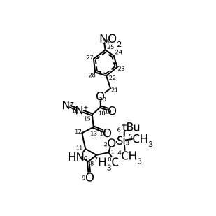 CC(O[Si](C)(C)C(C)(C)C)C1C(=O)NC1CC(=O)C(=[N+]=[N-])C(=O)OCc1ccc([N+](=O)[O-])cc1